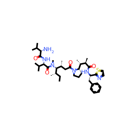 CC[C@H](C)[C@@H]([C@H](C)CC(=O)N1CCC[C@H]1[C@H](C)[C@@H](C)C(=O)N[C@@H](Cc1ccccc1)c1nccs1)N(C)C(=O)[C@@H](NC(=O)[C@@H](N)C(C)C)C(C)C